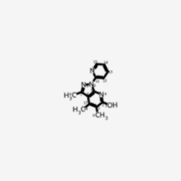 Cc1c(O)nc2c(c(C)nn2-c2ccccn2)c1C